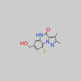 Cc1nn2c(c1C)c(=O)[nH]c1cc(CO)cc(F)c12